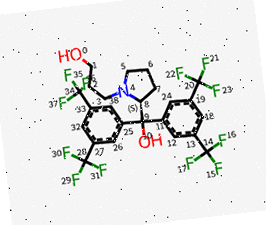 OCCCN1CCC[C@H]1C(O)(c1cc(C(F)(F)F)cc(C(F)(F)F)c1)c1cc(C(F)(F)F)cc(C(F)(F)F)c1